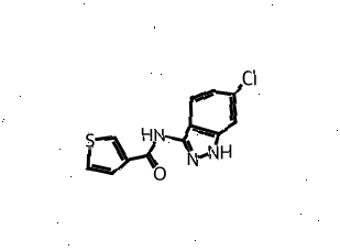 O=C(Nc1n[nH]c2cc(Cl)ccc12)c1ccsc1